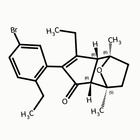 CCC1=C(c2cc(Br)ccc2CC)C(=O)[C@@H]2[C@H]1[C@@]1(C)CC[C@]2(C)O1